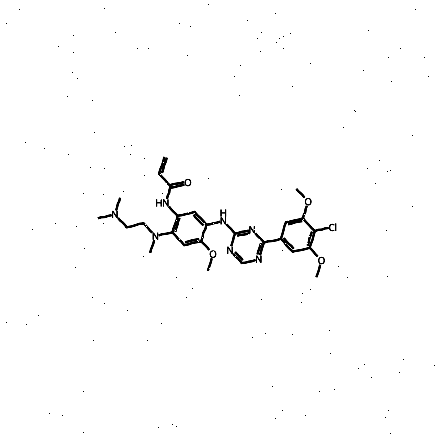 C=CC(=O)Nc1cc(Nc2ncnc(-c3cc(OC)c(Cl)c(OC)c3)n2)c(OC)cc1N(C)CCN(C)C